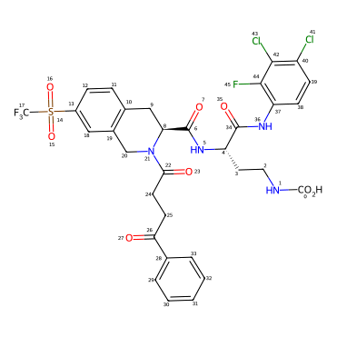 O=C(O)NCC[C@H](NC(=O)[C@@H]1Cc2ccc(S(=O)(=O)C(F)(F)F)cc2CN1C(=O)CCC(=O)c1ccccc1)C(=O)Nc1ccc(Cl)c(Cl)c1F